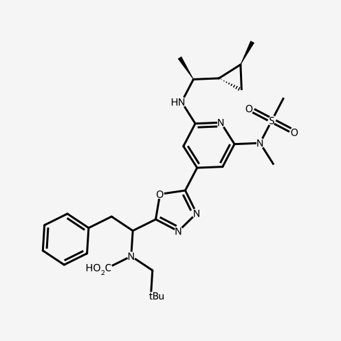 C[C@H](Nc1cc(-c2nnc(C(Cc3ccccc3)N(CC(C)(C)C)C(=O)O)o2)cc(N(C)S(C)(=O)=O)n1)[C@H]1C[C@@H]1C